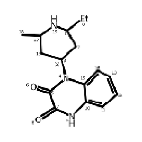 CCC1C[C@@H](n2c(=O)c(=O)[nH]c3ccccc32)CC(C)N1